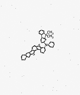 CC1(C)c2ccccc2-c2ccc(N(c3ccccc3)c3cccc4c3sc3ccc5c6cc7ccccc7cc6sc5c34)cc21